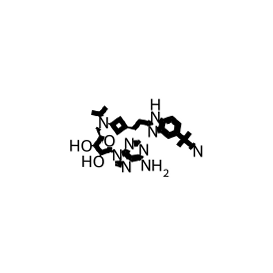 CC(C)N(C[C@H]1O[C@@H](n2cnc3c(N)ncnc32)[C@H](O)[C@@H]1O)[C@H]1C[C@H](CCc2nc3cc(C(C)(C)C#N)ccc3[nH]2)C1